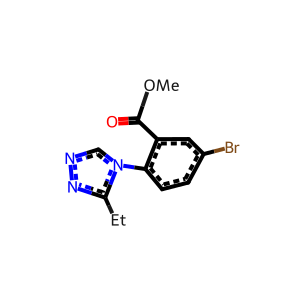 CCc1nncn1-c1ccc(Br)cc1C(=O)OC